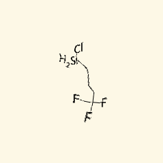 FC(F)(F)CCC[SiH2]Cl